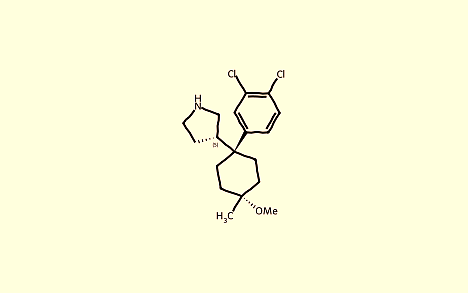 CO[C@]1(C)CC[C@](c2ccc(Cl)c(Cl)c2)([C@@H]2CCNC2)CC1